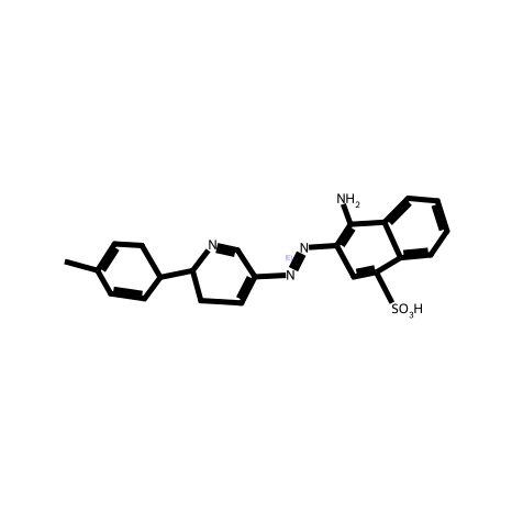 CC1=CCC(C2CC=C(/N=N/c3cc(S(=O)(=O)O)c4ccccc4c3N)C=N2)C=C1